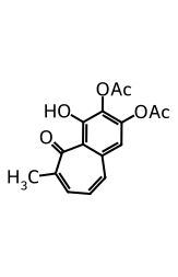 CC(=O)Oc1cc2cccc(C)c(=O)c2c(O)c1OC(C)=O